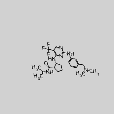 CC(C)NC(=O)[C@H]1CCC[C@H]1Nc1nc(Nc2cccc(CN(C)C)c2)ncc1C(F)(F)F